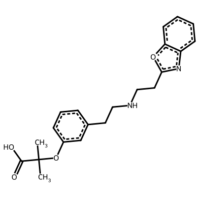 CC(C)(Oc1cccc(CCNCCc2nc3ccccc3o2)c1)C(=O)O